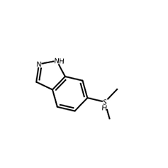 C[SH](C)c1ccc2cn[nH]c2c1